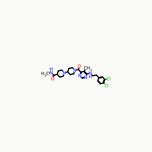 CNC(=O)C1CCN(C2CCN(C(=O)c3ncnc(NCCc4ccc(Cl)c(Cl)c4)c3C)CC2)CC1